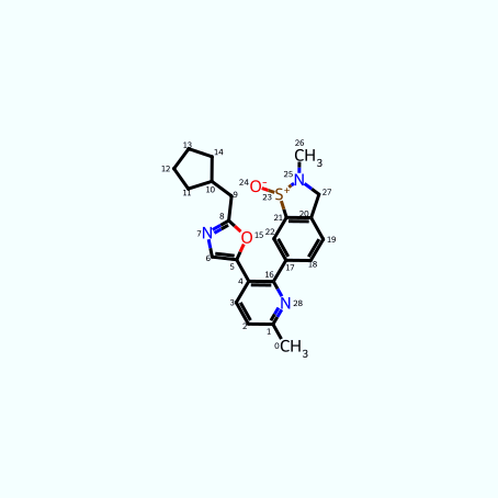 Cc1ccc(-c2cnc(CC3CCCC3)o2)c(-c2ccc3c(c2)[S+]([O-])N(C)C3)n1